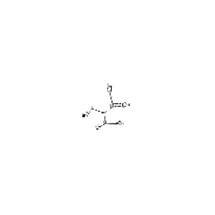 CC(C)CC(C(=O)Cl)C(=O)Cl